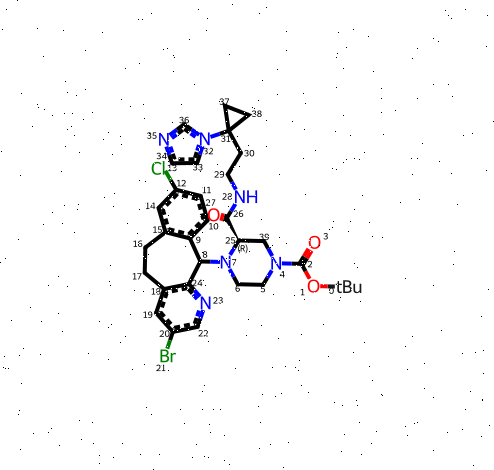 CC(C)(C)OC(=O)N1CCN(C2c3ccc(Cl)cc3CCc3cc(Br)cnc32)[C@@H](C(=O)NCCC2(n3ccnc3)CC2)C1